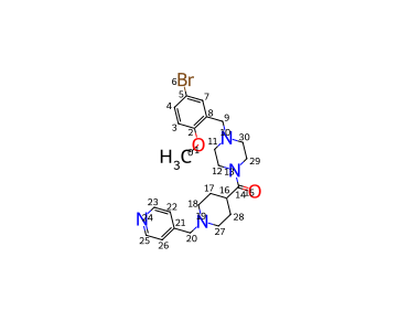 COc1ccc(Br)cc1CN1CCN(C(=O)C2CCN(Cc3ccncc3)CC2)CC1